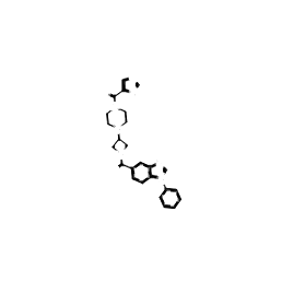 O=C(c1ccc2c(c1)ncn2-c1ccccc1)N1CC(N2CCN(C(=O)c3cscn3)CC2)C1